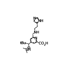 C[SiH](C)OC(c1cc(CNCCc2cnc[nH]2)nc(C(=O)O)c1)C(C)(C)C